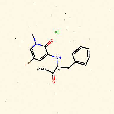 COC(=O)[C@H](Cc1ccccc1)Nc1cc(Br)cn(C)c1=O.Cl